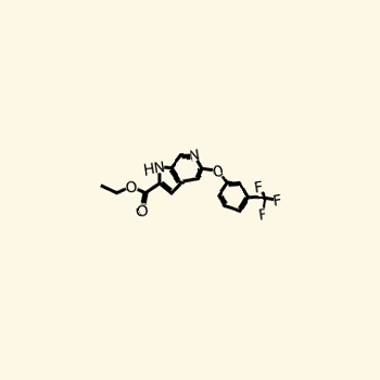 CCOC(=O)c1cc2cc(Oc3cccc(C(F)(F)F)c3)ncc2[nH]1